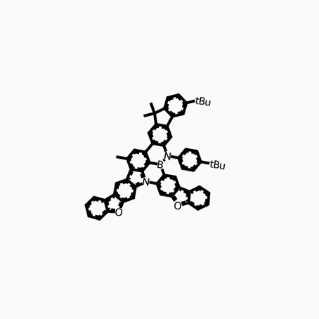 Cc1cc2c3c4c1c1cc5c(cc1n4-c1cc4oc6ccccc6c4cc1B3N(c1ccc(C(C)(C)C)cc1)c1cc3c(cc1-2)C(C)(C)c1ccc(C(C)(C)C)cc1-3)oc1ccccc15